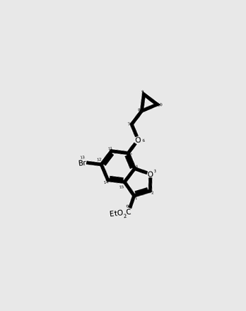 CCOC(=O)c1coc2c(OCC3CC3)cc(Br)cc12